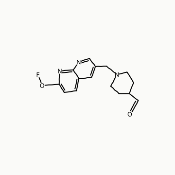 O=CC1CCN(Cc2cnc3nc(OF)ccc3c2)CC1